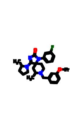 CC(C)Oc1cccc(CN2CCC3(CC2C)C(N2CCCC2C)=NC(=O)N3c2cccc(F)c2)c1